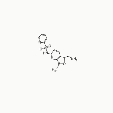 CB1OC(CN)c2ccc(NS(=O)(=O)c3ccccn3)cc21